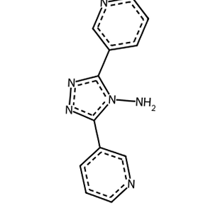 Nn1c(-c2cccnc2)nnc1-c1cccnc1